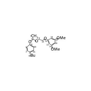 CCC(C)c1ccc(OC(C)OCCOc2cc(OC)cc(OC)c2)cc1